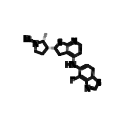 CCN1CC[C@@H](C2Cc3c(Nc4ccc5scnc5c4F)ccnc3S2)[C@H]1C